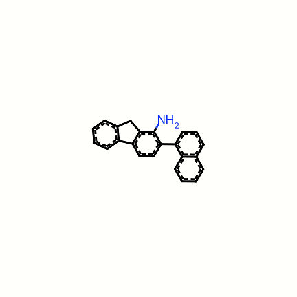 Nc1c(-c2cccc3ccccc23)ccc2c1Cc1ccccc1-2